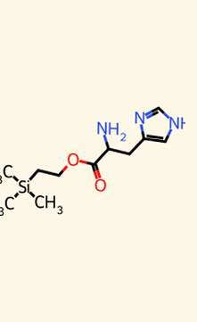 C[Si](C)(C)CCOC(=O)C(N)Cc1c[nH]cn1